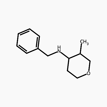 CC1COCCC1NCc1ccccc1